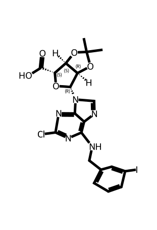 CC1(C)O[C@@H]2[C@H](O1)[C@@H](C(=O)O)O[C@H]2n1cnc2c(NCc3cccc(I)c3)nc(Cl)nc21